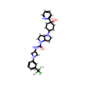 O=C(NC1CN(c2cccc(C(F)(F)F)c2)C1)N1CCC2C1CCN2C1CCC(O)(c2ccccn2)CC1